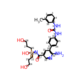 Cc1cccc(NC(=O)Nc2ccc(-c3cc(C(=O)N=[SH](O)(CCCO)CCCO)cnc3N)cc2)c1